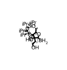 BC1OC2CO[Si](C(C)C)(C(C)C)O[Si](C(C)C)(C(C)C)O[C@H]2[C@@]1(O)CCO